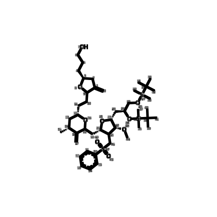 C=C1C[C@H](CCCO)OC1CC[C@H]1C[C@@H](C)C(=C)C(C[C@@H]2O[C@H](C[C@@H](CO[Si](C)(C)C(C)(C)C)O[Si](C)(C)C(C)(C)C)[C@H](OC)C2CS(=O)(=O)c2ccccc2)O1